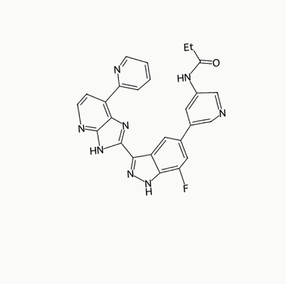 CCC(=O)Nc1cncc(-c2cc(F)c3[nH]nc(-c4nc5c(-c6ccccn6)ccnc5[nH]4)c3c2)c1